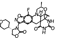 C[C@@H]1CN2c3c(cc4c(N5C(=O)OC[C@@H]5C5CCOCC5)noc4c3F)CC3(C(=O)NC(=O)NC3=O)[C@H]2[C@H](C)O1